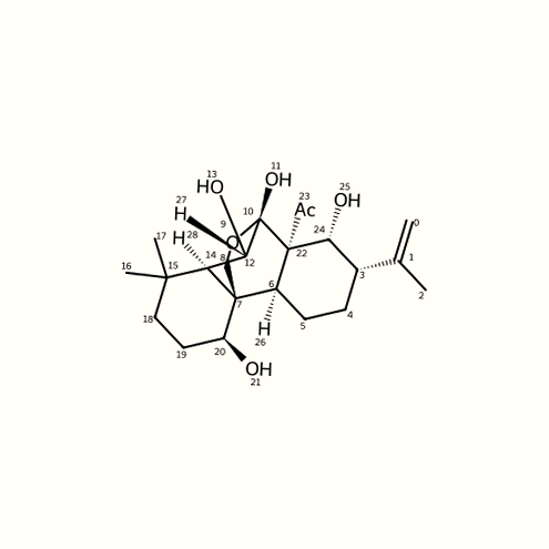 C=C(C)[C@@H]1CC[C@H]2[C@@]34CO[C@@](O)([C@@H](O)[C@@H]3C(C)(C)CC[C@@H]4O)[C@@]2(C(C)=O)[C@@H]1O